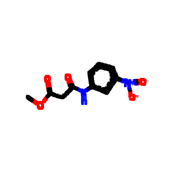 COC(=O)CC(=O)Nc1cccc([N+](=O)[O-])c1